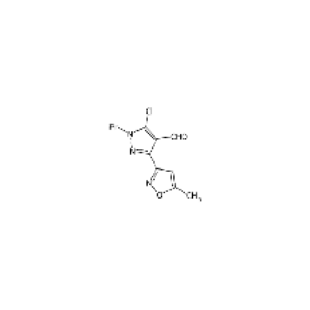 Cc1cc(-c2nn(C(C)C)c(Cl)c2C=O)no1